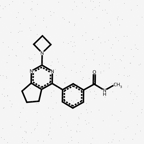 CNC(=O)c1cccc(-c2nc(N3CCC3)nc3c2CCC3)c1